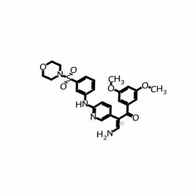 COc1cc(OC)cc(C(=O)/C(=C/N)c2ccc(Nc3cccc(S(=O)(=O)N4CCOCC4)c3)nc2)c1